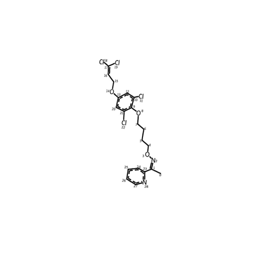 CC(=NOCCCCOc1c(Cl)cc(OCC=C(Cl)Cl)cc1Cl)c1ccccn1